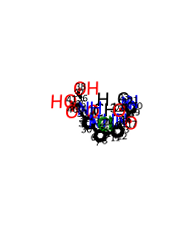 COc1nc(-c2cccc(-c3cccc(NC(=O)c4ccnn(C)c4=O)c3Cl)c2Cl)ccc1CN[C@@H](CCO)C(=O)O